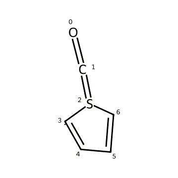 O=C=S1[C]=CC=C1